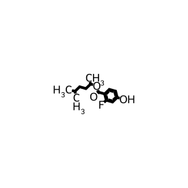 CC(C)CCC(C)OC(=O)c1ccc(O)cc1F